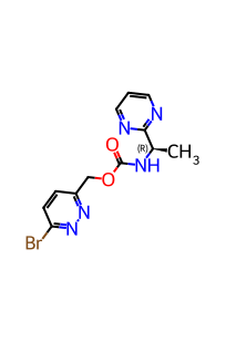 C[C@@H](NC(=O)OCc1ccc(Br)nn1)c1ncccn1